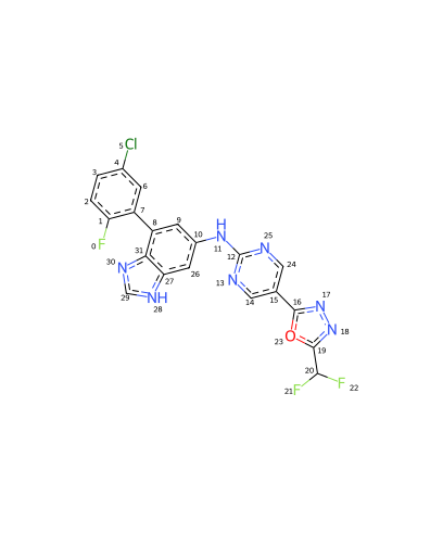 Fc1ccc(Cl)cc1-c1cc(Nc2ncc(-c3nnc(C(F)F)o3)cn2)cc2[nH]cnc12